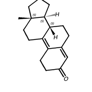 C[C@@]12CCC[C@H]1[C@@H]1CCC3=CC(=O)CCC3=C1CC2